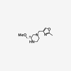 COC[C@@H]1CN(Cc2coc(C)n2)CCN1